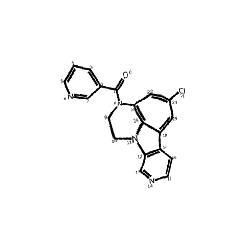 O=C(c1cccnc1)N1CCn2c3cnccc3c3cc(Cl)cc1c32